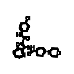 O=C(Nc1ccc(Cl)cc1)c1oc2cccnc2c1NC(=O)[C@H]1CC[C@H](N2CCOCC2)CC1